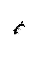 CC(C)c1ccc(NC2CCN(c3ccc(CN4CCC(O)(c5ccc6c(c5)CN(C5CCC(=O)NC5=O)C6=O)CC4)cc3)CC2)nc1